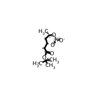 C[C@@H](CCCC(=O)OC(C)(C)C)O[N+](=O)[O-]